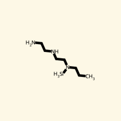 CCCN([SiH3])CCNCCN